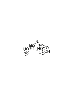 C[N+](C)(C)CCO.C[N+](C)(C)CCO.C[N+](C)(C)C[C@H](O)CC(=O)[O-].O=C([O-])C(O)C(O)C(=O)[O-]